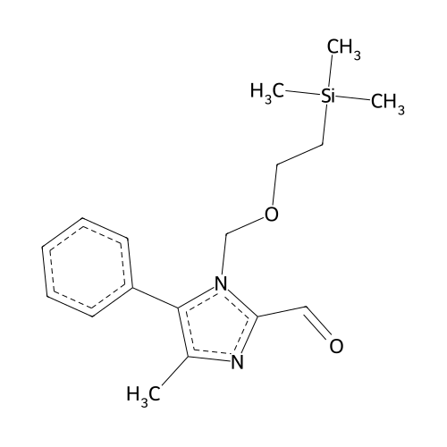 Cc1nc(C=O)n(COCC[Si](C)(C)C)c1-c1ccccc1